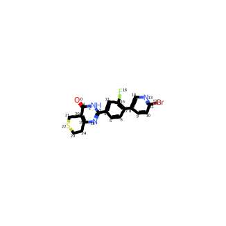 O=c1[nH]c(-c2ccc(-c3ccc(Br)nc3)c(F)c2)nc2c1CSCC2